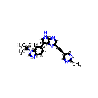 Cc1ncc(C#Cc2cnc3[nH]cc(-c4ccc5ncn(C(C)(C)C)c5c4)c3n2)cn1